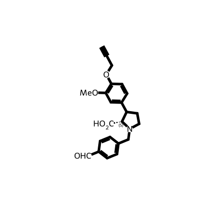 C#CCOc1ccc(C2CCN(Cc3ccc(C=O)cc3)[C@@H]2C(=O)O)cc1OC